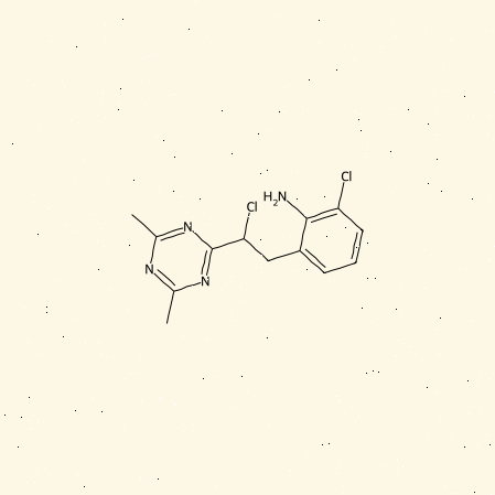 Cc1nc(C)nc(C(Cl)Cc2cccc(Cl)c2N)n1